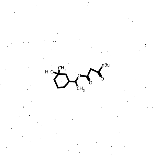 CCCCC(=O)CC(=O)OC(C)C1CCCC(C)(C)C1